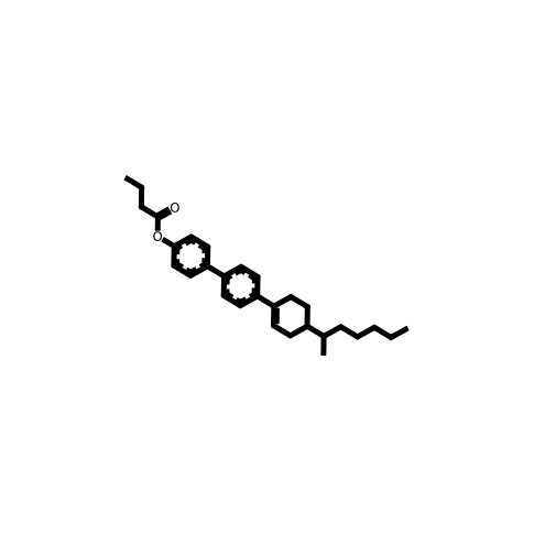 CCCCCC(C)C1CC=C(c2ccc(-c3ccc(OC(=O)CCC)cc3)cc2)CC1